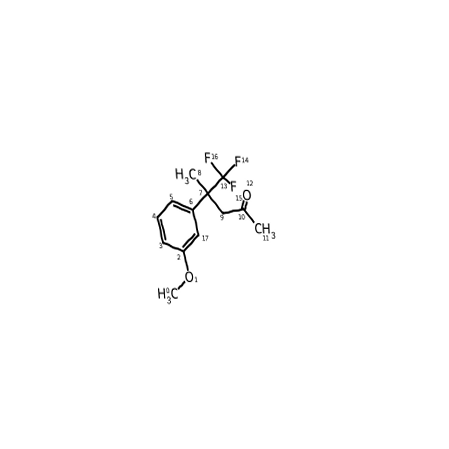 COc1cccc(C(C)(CC(C)=O)C(F)(F)F)c1